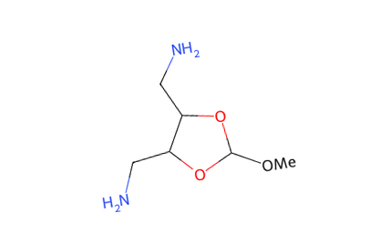 COC1OC(CN)C(CN)O1